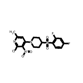 Cc1cc(N2CCC(S(=O)(=O)c3ccc(F)cc3F)CC2)c([N+](=O)[O-])c(Cl)n1